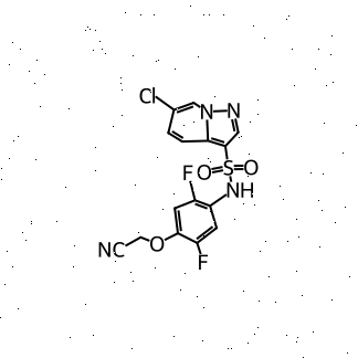 N#CCOc1cc(F)c(NS(=O)(=O)c2cnn3cc(Cl)ccc23)cc1F